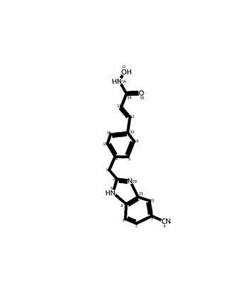 N#Cc1ccc2[nH]c(Cc3ccc(/C=C/C(=O)NO)cc3)nc2c1